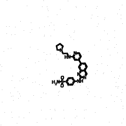 NS(=O)(=O)c1ccc(Nc2ncc3ccc(-c4ccnc(NCCN5CCCC5)c4)cc3n2)cc1